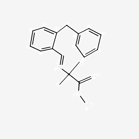 CC(C)(C)OC(=O)C(C)(C)/N=C/c1ccccc1Cc1ccccc1